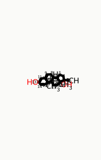 C#CC1(O)CC[C@H]2[C@@H]3CC=C4C=C(O)C=C[C@]4(C)[C@@H]3CC[C@@]21C